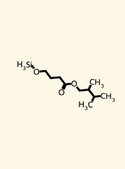 CC(C)C(C)COC(=O)CCCO[SiH3]